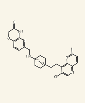 Cc1ccc2ncc(Cl)c(CCC34CCC(NCc5ccc6c(n5)NC(=O)CO6)(CC3)CO4)c2n1